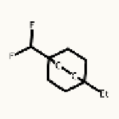 CCC12CCC(C(F)F)(CC1)CC2